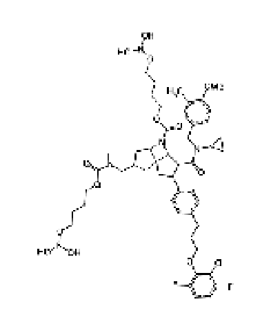 COc1ccc(CN(C(=O)C2C(c3ccc(CCCOc4c(F)ccc(F)c4Cl)cc3)CC34CC(CNC(=O)OCCCCON(O)O)CC3N(C(=O)OCCCCON(O)O)C24)C2CC2)cc1C